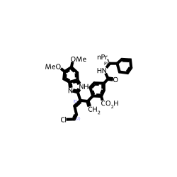 C=C(/C(=C\C=C/Cl)c1nc2cc(OC)c(OC)cc2[nH]1)c1ccc(C(=O)N[C@H](CCC)C2C=CC=CC2)cc1C(=O)O